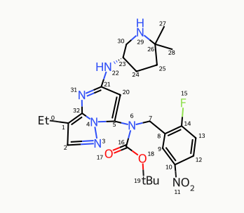 CCc1cnn2c(N(Cc3cc([N+](=O)[O-])ccc3F)C(=O)OC(C)(C)C)cc(N[C@H]3CCC(C)(C)NC3)nc12